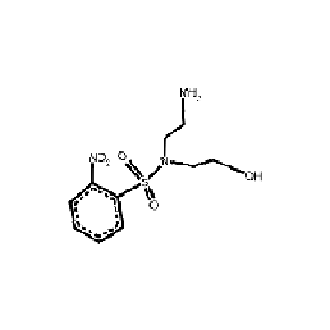 NCCN(CCO)S(=O)(=O)c1ccccc1[N+](=O)[O-]